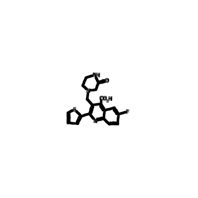 O=C1CN(Cc2c(-c3cccs3)nc3ccc(F)cc3c2C(=O)O)CCN1